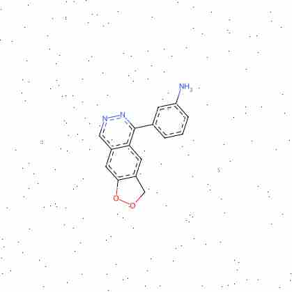 Nc1cccc(-c2nncc3cc4c(cc23)COO4)c1